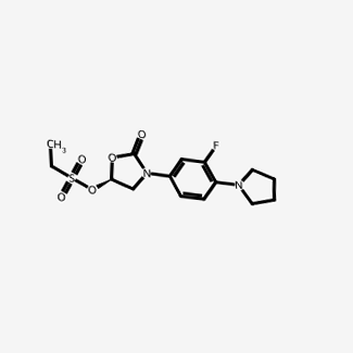 CCS(=O)(=O)O[C@@H]1CN(c2ccc(N3CCCC3)c(F)c2)C(=O)O1